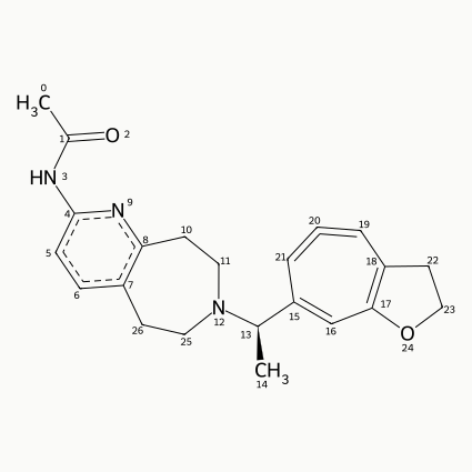 CC(=O)Nc1ccc2c(n1)CCN([C@H](C)C1=CC3=C(C=C=C1)CCO3)CC2